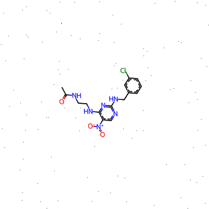 CC(=O)NCCNc1nc(NCc2cccc(Cl)c2)ncc1[N+](=O)[O-]